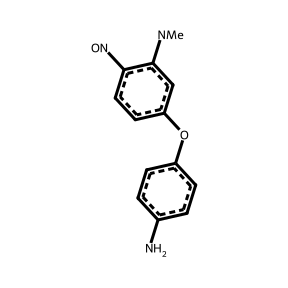 CNc1cc(Oc2ccc(N)cc2)ccc1N=O